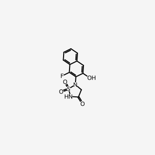 O=C1CN(c2c(O)cc3ccccc3c2F)S(=O)(=O)N1